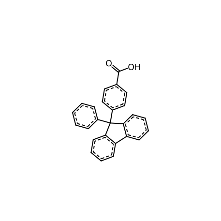 O=C(O)c1ccc(C2(c3ccccc3)c3ccccc3-c3ccccc32)cc1